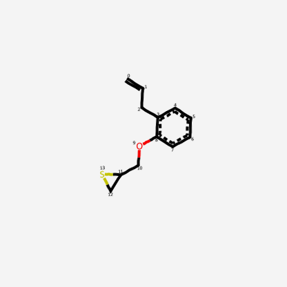 C=CCc1ccccc1OCC1CS1